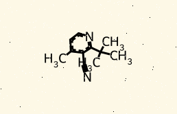 Cc1ccnc(C(C)(C)C)c1C#N